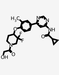 Cc1cc(-c2cc(NC(=O)C3CC3)ncn2)ccc1OC1CCN(C(=O)CO)CC1(F)F